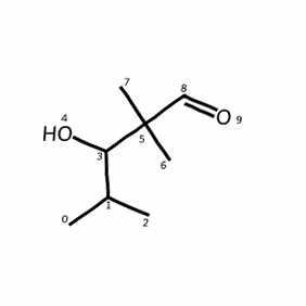 CC(C)C(O)C(C)(C)C=O